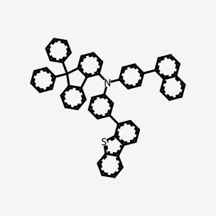 c1ccc(C2(c3ccccc3)c3ccccc3-c3c(N(c4ccc(-c5cccc6ccccc56)cc4)c4cccc(-c5cccc6c5sc5ccccc56)c4)cccc32)cc1